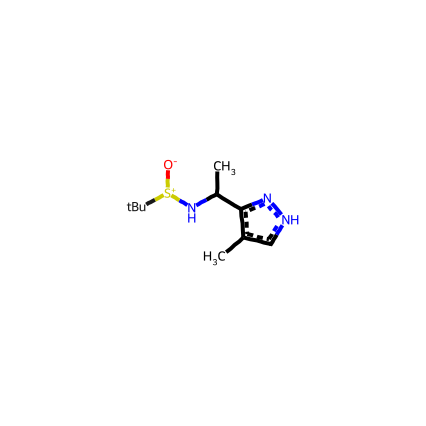 Cc1c[nH]nc1C(C)N[S+]([O-])C(C)(C)C